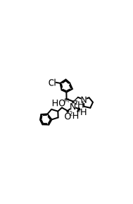 [2H]C([2H])([2H])N(C(=O)CC1Cc2ccccc2C1)[C@H](CN1CCCC1)[C@H](O)c1cccc(Cl)c1